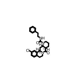 O=C1[C@H]2CCCN(C(=O)NCCc3ccccc3)[C@H]2C[C@H]2c3cc(Cl)ccc3CCN12